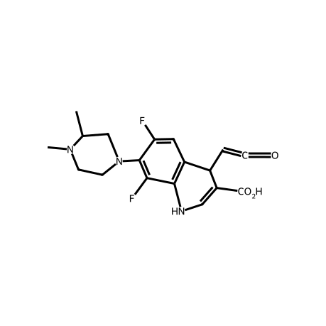 CC1CN(c2c(F)cc3c(c2F)NC=C(C(=O)O)C3C=C=O)CCN1C